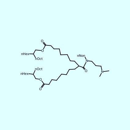 CCCCCCCCCN(CCCN(C)C)C(=O)C(CCCCCCCC(=O)OCC(CCCCCC)CCCCCCCC)CCCCCCCC(=O)OCC(CCCCCC)CCCCCCCC